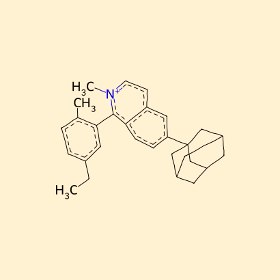 CCc1ccc(C)c(-c2c3ccc(C45CC6CC(CC(C6)C4)C5)cc3cc[n+]2C)c1